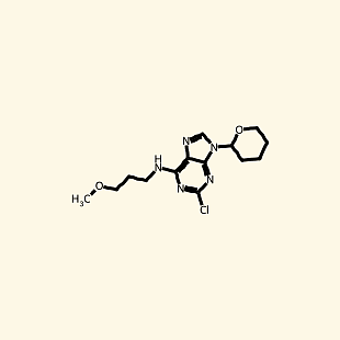 COCCCNc1nc(Cl)nc2c1ncn2C1CCCCO1